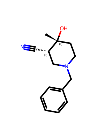 C[C@@]1(O)CCN(Cc2ccccc2)C[C@@H]1C#N